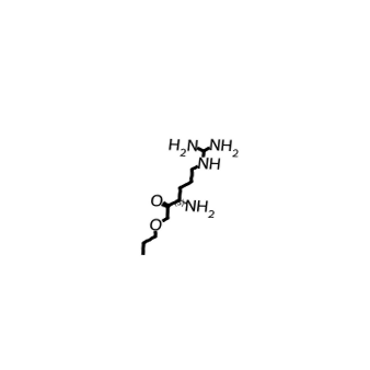 CCCOCC(=O)[C@@H](N)CCCNC(N)N